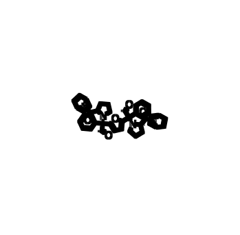 O=[C]C(c1ccccc1)(c1ccc([C@]([C]=O)(c2ccccc2)N2CCC[C]2C(=O)n2c3ccc2cc3)o1)N1CCC[C]1C(=O)n1c2ccc1cc2